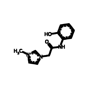 C[n+]1ccn(CC(=O)Nc2ccccc2O)c1